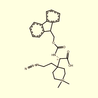 C[N+]1(C)CCC(CCN=[N+]=[N-])([C@H](NC(=O)OCC2c3ccccc3-c3ccccc32)C(=O)O)CC1